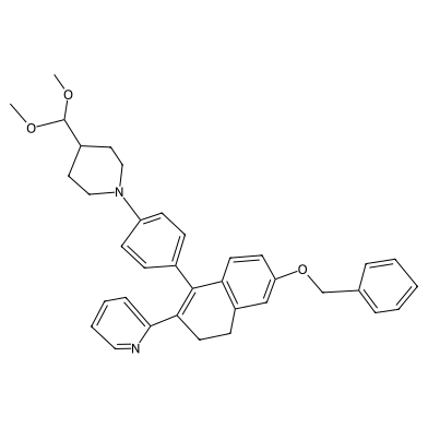 COC(OC)C1CCN(c2ccc(C3=C(c4ccccn4)CCc4cc(OCc5ccccc5)ccc43)cc2)CC1